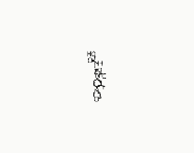 O=C(CO)NC[C@H]1CN(c2ccc(N3CCOCC3)c(F)c2)C(=O)O1